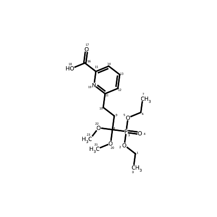 CCOP(=O)(OCC)C(CCc1cccc(C(=O)O)n1)(OC)OC